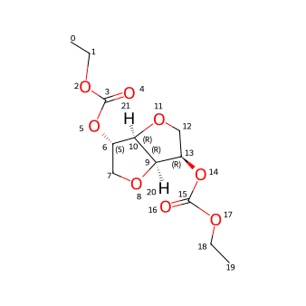 CCOC(=O)O[C@H]1CO[C@H]2[C@@H]1OC[C@H]2OC(=O)OCC